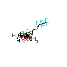 C[Si](C)(Cl)O[Si](C)(C)O[Si](C)(C)O[Si](C)(Cl)CCCOCC(F)C(F)(F)C(F)(F)C(F)F